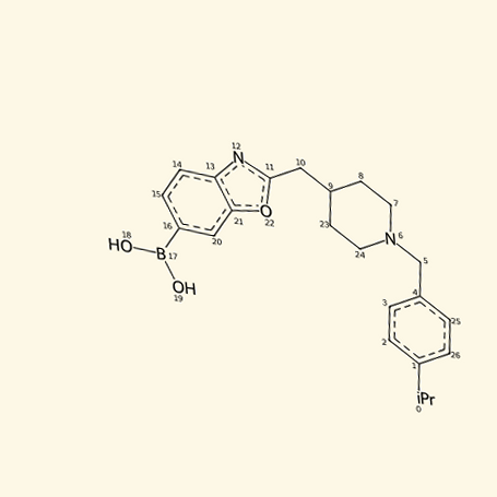 CC(C)c1ccc(CN2CCC(Cc3nc4ccc(B(O)O)cc4o3)CC2)cc1